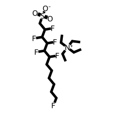 CC[N+](CC)(CC)CC.O=S(=O)([O-])CC(F)C(F)C(F)C(F)C(F)CCCCCCF